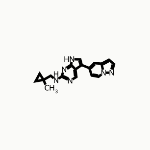 CC1(CNc2ncc3c(-c4ccn5nccc5c4)c[nH]c3n2)CC1